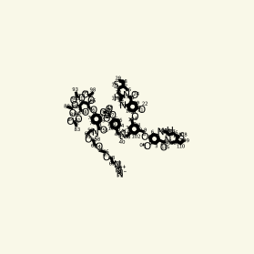 COc1cc2c(cc1OCc1cc(COc3cc4c(cc3OC)C(=O)N3Cc5ccsc5C[C@H]3C=N4)cc(C[N+](C)(C)Cc3ccc(OS(=O)(=O)Oc4cc(C(=O)N(C)CCOCCOCCOCCN=[N+]=[N-])ccc4OC4O[C@H](COC(C)=O)[C@H](OC(C)=O)[C@H](OC(C)=O)[C@H]4OC(C)=O)cc3)c1)N=C[C@@H]1Cc3sccc3CN1C2=O